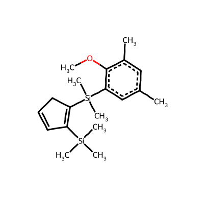 COc1c(C)cc(C)cc1[Si](C)(C)C1=C([Si](C)(C)C)C=CC1